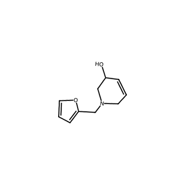 OC1C=CCN(Cc2ccco2)C1